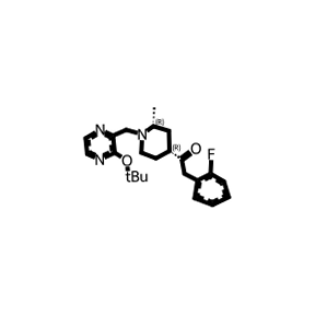 C[C@@H]1C[C@H](C(=O)Cc2ccccc2F)CCN1Cc1nccnc1OC(C)(C)C